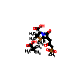 C=S1[C@@H]2C(=CC(=O)CS(C)(=O)=O)C(=O)N2[C@@H](C(=O)O)C1(C)C.CC(C)(C)C(=O)O